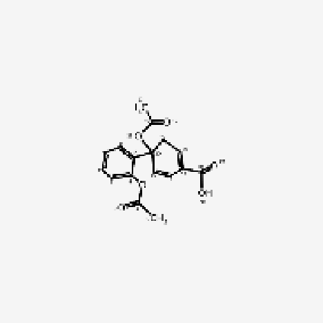 CC(=O)Oc1ccccc1C1(OC(C)=O)C=CC(C(=O)O)=CC1